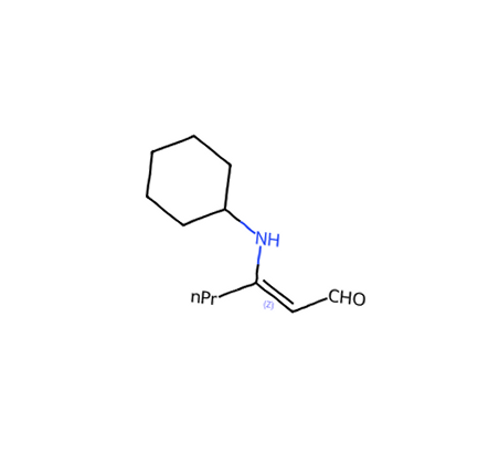 CCC/C(=C/C=O)NC1CCCCC1